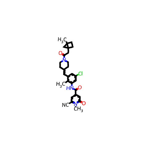 Cc1c(C=C2CCN(C(=O)CC34CCC3(C)C4)CC2)cc(Cl)cc1NC(=O)c1cc(C#N)n(C)c(=O)c1